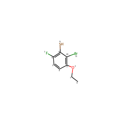 CCOc1ccc(F)c(S)c1Br